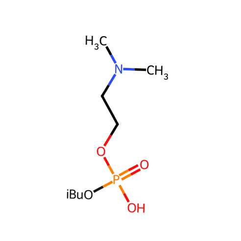 CC(C)COP(=O)(O)OCCN(C)C